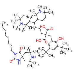 CCCCCCCCN1C(=O)NC2(CC(C)(C)NC(C)(C)C2)C1=O.CN1C(C)(C)CCC(C(CCCC(Cc2cc(C(C)(C)C)cc(C(C)(C)C)c2O)(C(=O)O)C(=O)O)C2CCC(C)(C)N(C)C2(C)C)C1(C)C